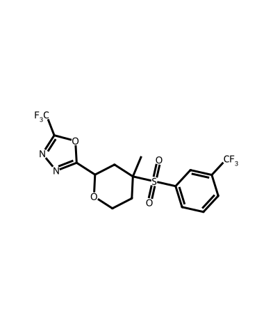 CC1(S(=O)(=O)c2cccc(C(F)(F)F)c2)CCOC(c2nnc(C(F)(F)F)o2)C1